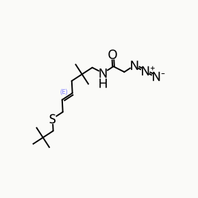 CC(C)(C)CSC/C=C/CC(C)(C)CNC(=O)CN=[N+]=[N-]